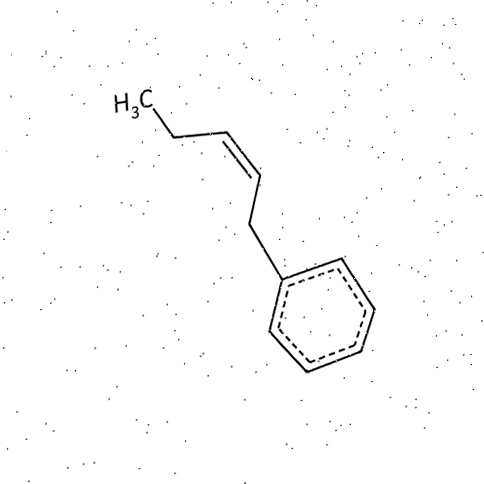 CC/C=C\Cc1ccccc1